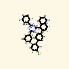 Clc1cccc(-c2ccc(-c3ccc4ccccc4c3-c3nc(-c4ccccc4)nc(-c4ccccc4)n3)cc2)c1